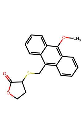 COc1c2ccccc2c(CSC2CCOC2=O)c2ccccc12